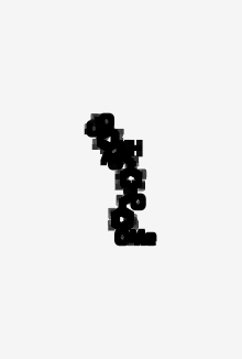 COc1ccc(CC(=O)N2CCC(CC(=O)Nc3cc4c(cc3C(C)=O)OCO4)CC2)cc1